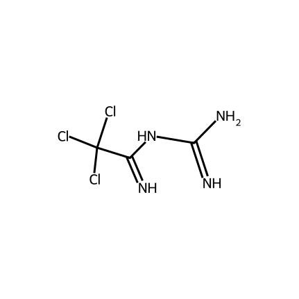 N=C(N)NC(=N)C(Cl)(Cl)Cl